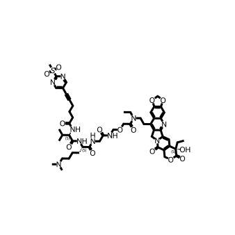 CCN(CCc1c2c(nc3cc4c(cc13)OCO4)-c1cc3c(c(=O)n1C2)COC(=O)[C@]3(O)CC)C(=O)COCNC(=O)CNC(=O)[C@H](CCCCN(C)C)NC(=O)[C@@H](NC(=O)CCCC#Cc1cnc(S(C)(=O)=O)nc1)C(C)C